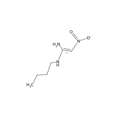 CCCCN/C(N)=C/[N+](=O)[O-]